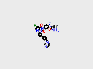 CC(C)[C@@H](N[C@H]1CC[C@@H](n2c(=O)c3cc(F)cnc3n(-c3cccc(-c4ccc(CN5CCCN(C)CC5)cc4)c3)c2=O)CC1)C(N)=O